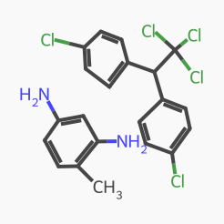 Cc1ccc(N)cc1N.Clc1ccc(C(c2ccc(Cl)cc2)C(Cl)(Cl)Cl)cc1